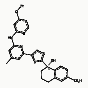 CCOc1ccnc(Nc2cc(C)cc(-c3cnc([C@]4(O)CCCc5cc(C(=O)O)ccc54)s3)n2)c1